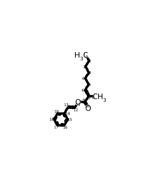 CCCCCCC=C(C)C(=O)OC=Cc1ccccc1